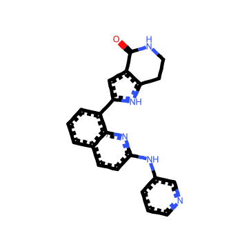 O=C1NCCc2[nH]c(-c3cccc4ccc(Nc5cccnc5)nc34)cc21